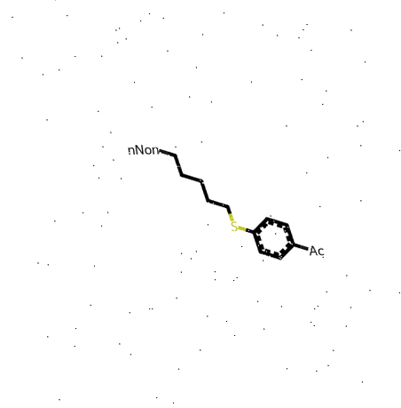 CCCCCCCCCCCCCCSc1ccc(C(C)=O)cc1